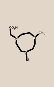 CCN1CCN(C)CCN(CC(=O)O)CC1